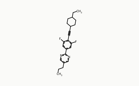 CCCc1cnc(-c2cc(F)c(C#CC3CCC(CC)CC3)c(F)c2)nc1